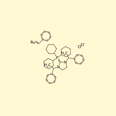 CC(c1ccccc1)N1CCN(C(C)c2ccccc2)C1=P(C1CCCCC1)(C1CCCCC1)C1CCCCC1.[Cl-].[Cl-].[Ru+2]=[CH]c1ccccc1